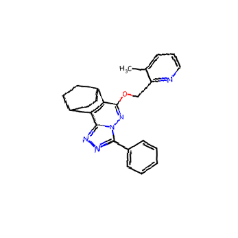 Cc1cccnc1COc1nn2c(-c3ccccc3)nnc2c2c1C1CCC2CC1